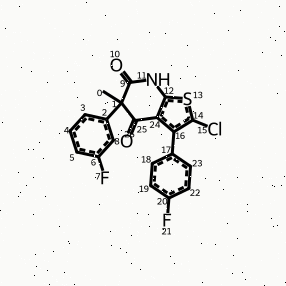 CC1(c2cccc(F)c2)C(=O)Nc2sc(Cl)c(-c3ccc(F)cc3)c2C1=O